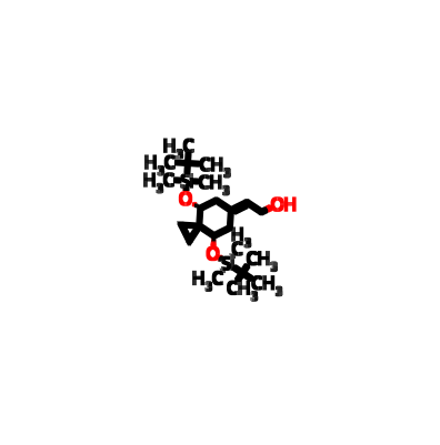 CC(C)(C)[Si](C)(C)O[C@@H]1CC(=CCO)C[C@@H](O[Si](C)(C)C(C)(C)C)C12CC2